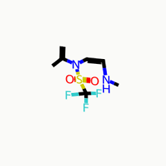 C=C(C)N(/C=C\NC)S(=O)(=O)C(F)(F)F